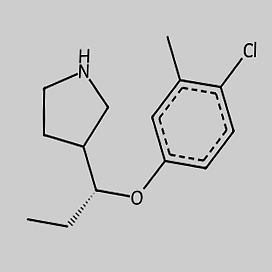 CC[C@@H](Oc1ccc(Cl)c(C)c1)C1CCNC1